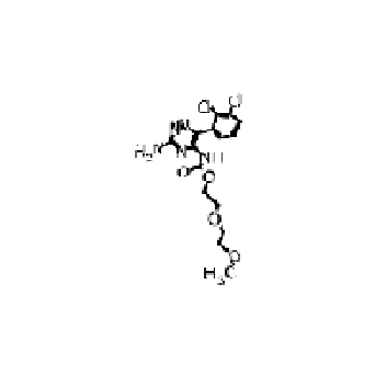 COCCOCCOC(=O)Nc1nc(N)nnc1-c1cccc(Cl)c1Cl